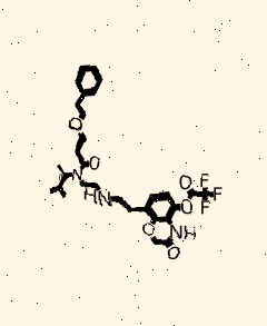 CC(C)[C@@H](C)N(CCNCCc1ccc(OC(=O)C(F)(F)F)c2c1OCC(=O)N2)C(=O)CCOCCc1ccccc1